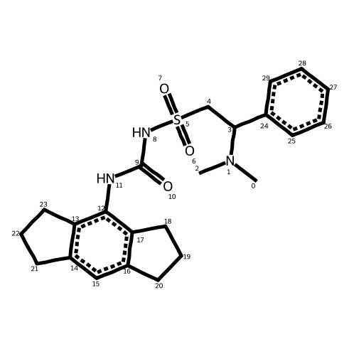 CN(C)C(CS(=O)(=O)NC(=O)Nc1c2c(cc3c1CCC3)CCC2)c1ccccc1